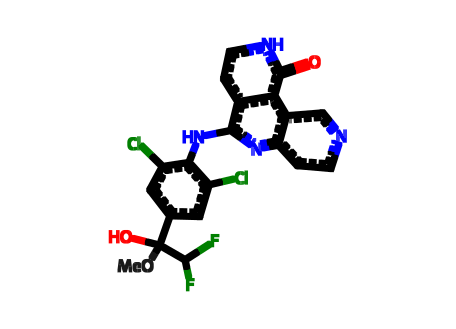 COC(O)(c1cc(Cl)c(Nc2nc3ccncc3c3c(=O)[nH]ccc23)c(Cl)c1)C(F)F